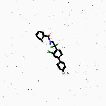 CC(=O)Nc1ccc(-c2ccc(C(F)(F)CNC(=O)c3ccccc3C(F)(F)F)c(Cl)c2)cc1